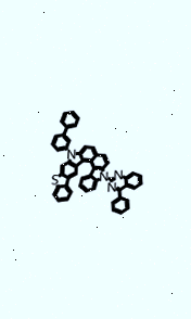 c1ccc(-c2cccc(-n3c4cc5sc6ccccc6c5cc4c4c5c(ccc43)ccc3c5c4ccccc4n3-c3nc(-c4ccccc4)c4ccccc4n3)c2)cc1